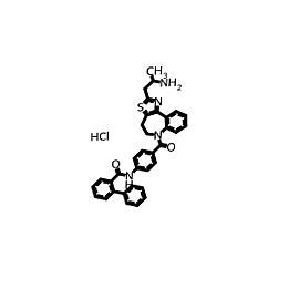 CC(N)Cc1nc2c(s1)CCN(C(=O)c1ccc(NC(=O)c3ccccc3-c3ccccc3)cc1)c1ccccc1-2.Cl